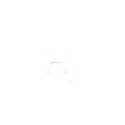 C=C1NCC2(CCC2)C1CC(C)(C)C